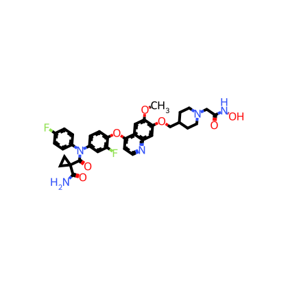 COc1cc2c(Oc3ccc(N(C(=O)C4(C(N)=O)CC4)c4ccc(F)cc4)cc3F)ccnc2cc1OCC1CCN(CC(=O)NO)CC1